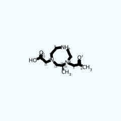 CC(=O)CN1CCNCCN(CC(=O)O)C[C@@H]1C